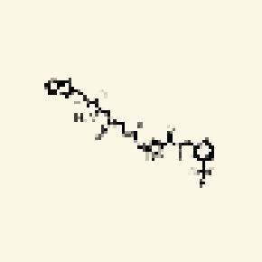 N/C(=C\N(N)CCC(F)Cn1cc(C(=O)NCc2cc(C(F)(F)F)ccn2)nn1)C(=O)NCc1cn2ccsc2n1